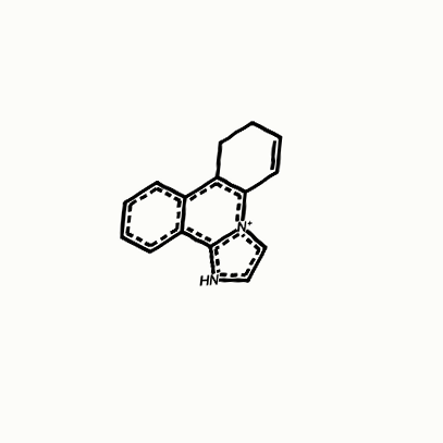 C1=Cc2c(c3ccccc3c3[nH]cc[n+]23)CC1